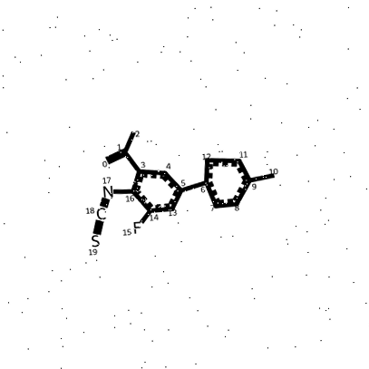 C=C(C)c1cc(-c2ccc(C)cc2)cc(F)c1N=C=S